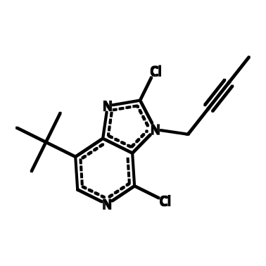 CC#CCn1c(Cl)nc2c(C(C)(C)C)cnc(Cl)c21